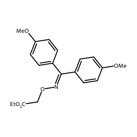 CCOC(=O)CON=C(c1ccc(OC)cc1)c1ccc(OC)cc1